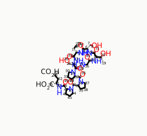 CC(C)C[C@H](NC(=O)[C@H](CO)NC(=O)[C@@H](NC(=O)CN)[C@@H](C)O)C(=O)N[C@@H](CO)C(=O)N1CCC[C@H]1C(=O)N1CCC[C@H]1C(=O)N1CCC[C@H]1C(=O)N[C@@H](CCC(=O)O)C(=O)O